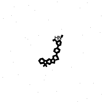 C=CNc1ccc(-c2ccc(C3=CCC4Cc5cc6c(cc5C4C3)-c3ccccc3C6(C)C)cc2)cc1C=C